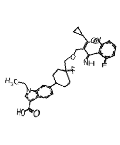 CCn1cc(C(=O)O)c2ccc(C3CCC(F)(COC/C(C(=N)c4c(F)cccc4Cl)=C(/O)C4CC4)CC3)cc21